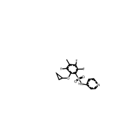 Cc1c(F)c(F)c(S(=O)(=O)Nc2ccncc2)c(OC2CC2)c1F